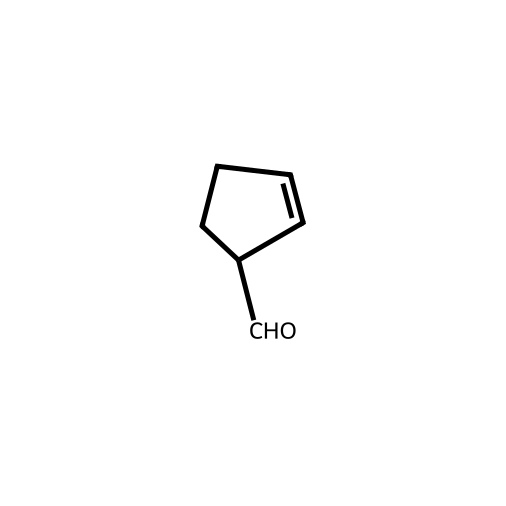 O=CC1C=CCC1